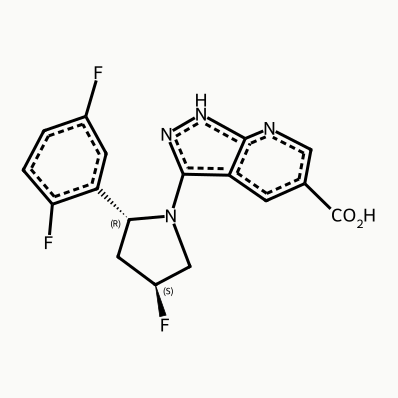 O=C(O)c1cnc2[nH]nc(N3C[C@@H](F)C[C@@H]3c3cc(F)ccc3F)c2c1